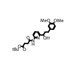 COc1ccc(CC[C@@H](O)c2cccc(NC(=O)CCC(=O)OC(C)(C)C)n2)cc1OC